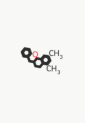 Cc1cc(C)c2c(c1)C(=O)C(Cc1ccccc1)CC2